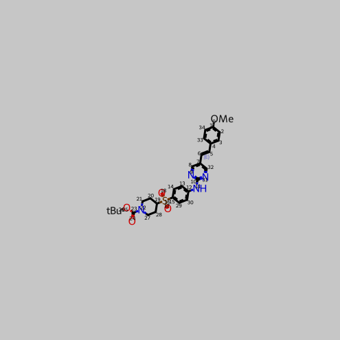 COc1ccc(/C=C/c2cnc(Nc3ccc(S(=O)(=O)C4CCN(C(=O)OC(C)(C)C)CC4)cc3)nc2)cc1